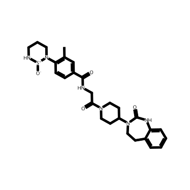 Cc1cc(C(=O)NCC(=O)N2CCC(N3CCc4ccccc4NC3=O)CC2)ccc1N1CCCN[S+]1[O-]